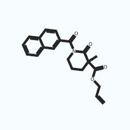 C=CCOC(=O)C1(C)CCCN(C(=O)c2ccc3ccccc3c2)C1=O